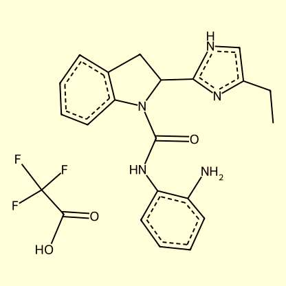 CCc1c[nH]c(C2Cc3ccccc3N2C(=O)Nc2ccccc2N)n1.O=C(O)C(F)(F)F